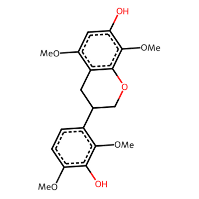 COc1ccc(C2COc3c(c(OC)cc(O)c3OC)C2)c(OC)c1O